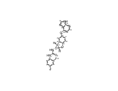 O=C(Nc1ccc(F)cc1F)N[C@H]1[C@H]2Oc3ccc(Oc4ncnc5[nH]cnc45)cc3[C@@H]12